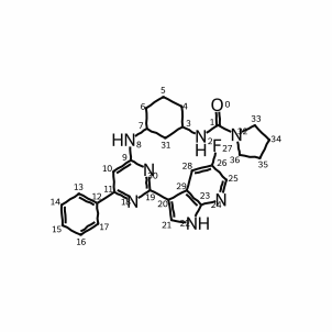 O=C(NC1CCCC(Nc2cc(-c3ccccc3)nc(-c3c[nH]c4ncc(F)cc34)n2)C1)N1CCCC1